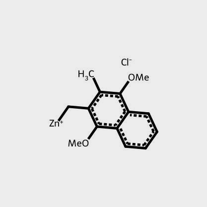 COc1c(C)c([CH2][Zn+])c(OC)c2ccccc12.[Cl-]